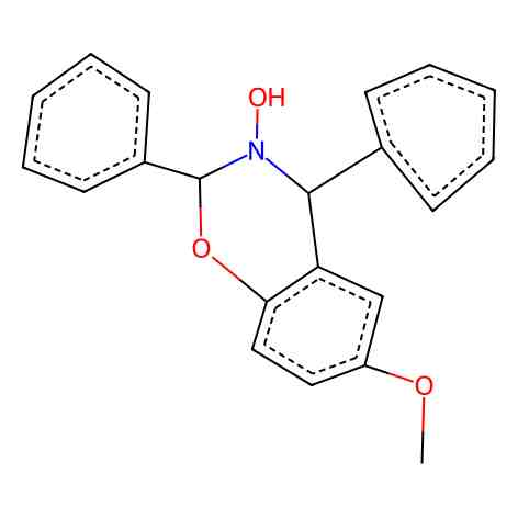 COc1ccc2c(c1)C(c1ccccc1)N(O)C(c1ccccc1)O2